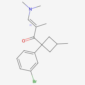 C/C(=C\N(C)C)C(=O)C1(c2cccc(Br)c2)CC(C)C1